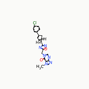 Cn1cnc2ncn(Cc3nc([C@H]4[C@@H]5C=C(c6ccc(Cl)cc6)C[C@@H]54)no3)c(=O)c21